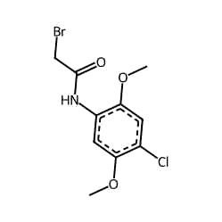 COc1cc(NC(=O)CBr)c(OC)cc1Cl